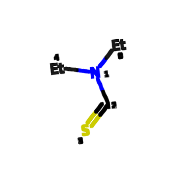 CCN([C]=S)CC